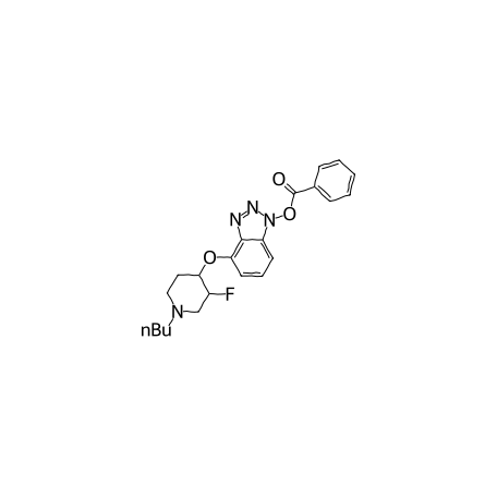 CCCCN1CCC(Oc2cccc3c2nnn3OC(=O)c2ccccc2)C(F)C1